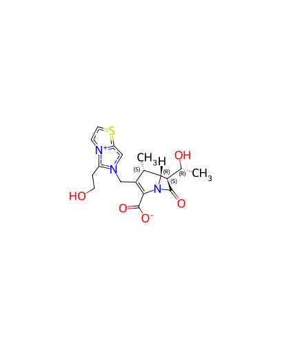 C[C@@H](O)[C@H]1C(=O)N2C(C(=O)[O-])=C(Cn3cc4scc[n+]4c3CCO)[C@H](C)[C@H]12